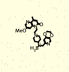 BN(Cc1cc2c(cn1)OCCO2)C1CCN(CCn2c(=O)cc(C)c3ncc(OC)cc32)CC1